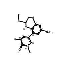 CCC1CCc2cc(N)cc(-c3cc(C)c(=O)n(C)c3)c2O1